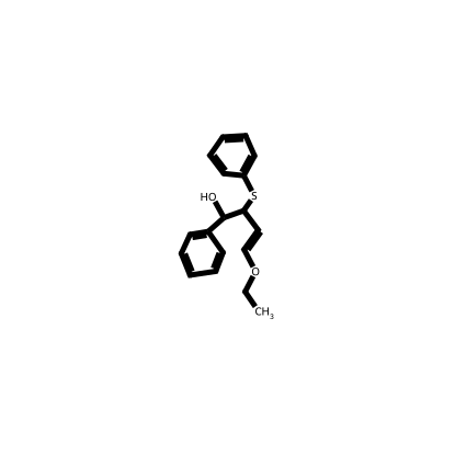 CCOC=CC(Sc1ccccc1)C(O)c1ccccc1